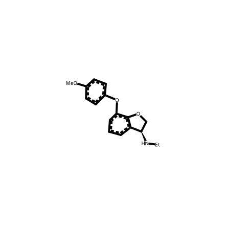 CCN[C@@H]1COc2c(Oc3ccc(OC)cc3)cccc21